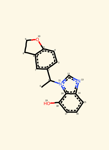 CC(c1ccc2c(c1)CCO2)n1cnc2cccc(O)c21